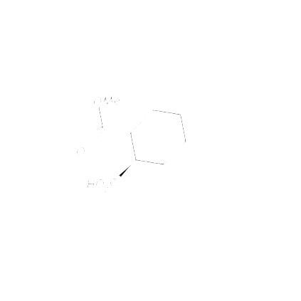 COC(=O)[C@@H]1CCCC[C@H]1C(=O)O